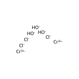 [Cl-].[Cl-].[Cl-].[Cr+3].[Cr+3].[OH-].[OH-].[OH-]